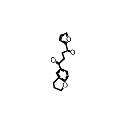 O=C(CCC(=O)c1ccco1)c1ccc2c(c1)CCCO2